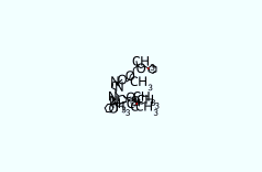 CC(CCOC(C)COc1nccc(-c2nn(C3CCCCO3)c3ccc(O[Si](C)(C)C(C)(C)C)cc23)n1)OCc1ccccc1